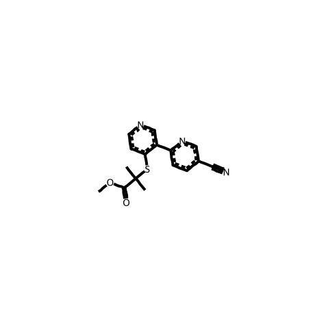 COC(=O)C(C)(C)Sc1ccncc1-c1ccc(C#N)cn1